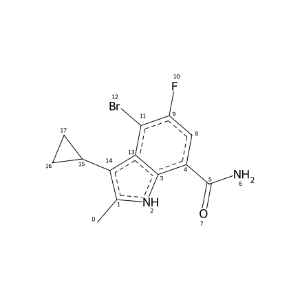 Cc1[nH]c2c(C(N)=O)cc(F)c(Br)c2c1C1CC1